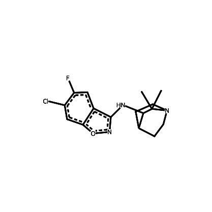 CC1(C)C(Nc2noc3cc(Cl)c(F)cc23)C2CCN1CC2